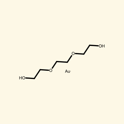 OCCOCCOCCO.[Au]